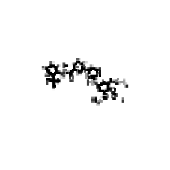 COc1cc(Nc2nccc(N3CCCC(C(=O)NCc4ccccc4C(F)(F)F)C3)n2)cc(OC)c1OC